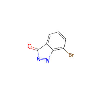 O=C1N=Nc2c(Br)cccc21